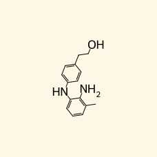 Cc1cccc(Nc2ccc(CCO)cc2)c1N